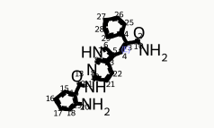 NC(=O)/C(=C/c1c[nH]c2nc(NC(=O)c3ccccc3N)ccc12)c1ccccc1